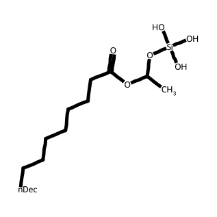 CCCCCCCCCCCCCCCCCC(=O)OC(C)O[Si](O)(O)O